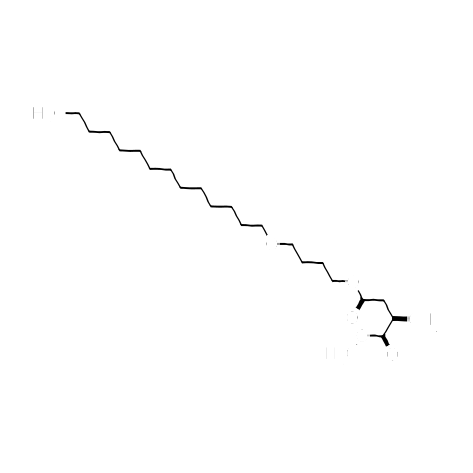 C=C(CC(=O)OCCCCOCCCCCCCCCCCCCC)C(=O)OC